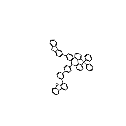 c1ccc(C2(c3ccccc3)c3ccccc3-c3c(N(c4ccc(-c5cccc(-c6cccc7c6oc6ccccc67)c5)cc4)c4cccc(-c5ccc6sc7ccccc7c6c5)c4)cccc32)cc1